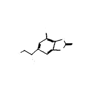 Cl.NC[C@@H](O)c1cc(Cl)c2[nH]c(=O)oc2c1